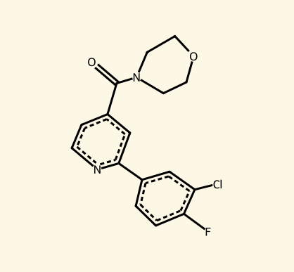 O=C(c1ccnc(-c2ccc(F)c(Cl)c2)c1)N1CCOCC1